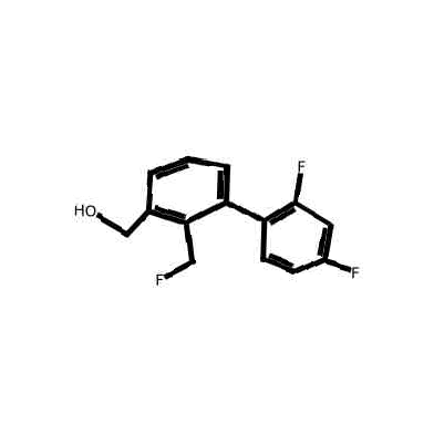 OCc1cccc(-c2ccc(F)cc2F)c1CF